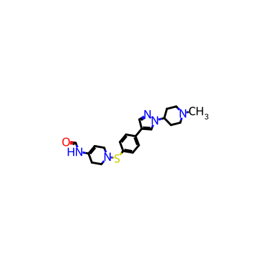 CN1CCC(n2cc(-c3ccc(SN4CC=C(NC=O)CC4)cc3)cn2)CC1